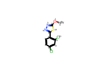 CCCOc1nnc(-c2ccc(Cl)cc2Cl)s1